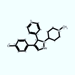 CN1CCC(N2NC=C(c3ccc(Cl)cc3)C2c2ccncc2)CC1